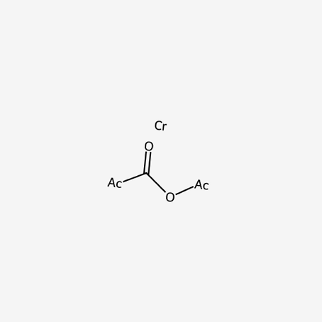 CC(=O)OC(=O)C(C)=O.[Cr]